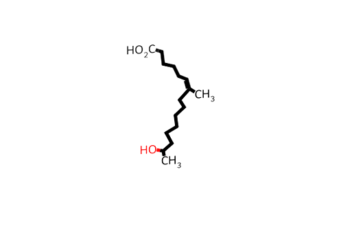 CC(=CCCCCC(=O)O)CCCCCCC(C)O